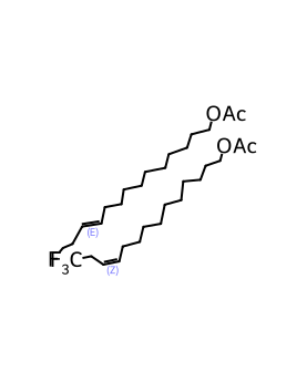 CC(=O)OCCCCCCCCCC/C=C/CCF.CC(=O)OCCCCCCCCCC/C=C\CC(F)(F)F